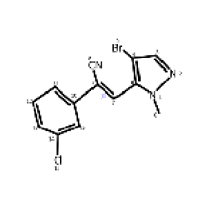 Cn1ncc(Br)c1/C=C(\C#N)c1cccc(Cl)c1